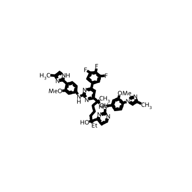 CCC(O)(CCCC(C)(O)c1cc(-c2cc(F)c(F)c(F)c2)nc(Nc2ccc(-c3nc(C)c[nH]3)c(OC)c2)n1)c1ccnc(Nc2ccc(-n3cnc(C)c3)c(OC)c2)n1